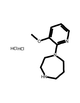 COc1cccnc1N1CCCNCC1.Cl.Cl